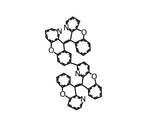 c1ccc2c(c1)Oc1cccnc1/C2=C1/c2cc(-c3ccc4c(n3)/C(=C3\c5ccccc5Oc5cccnc53)c3ccccc3O4)ccc2Oc2cccnc21